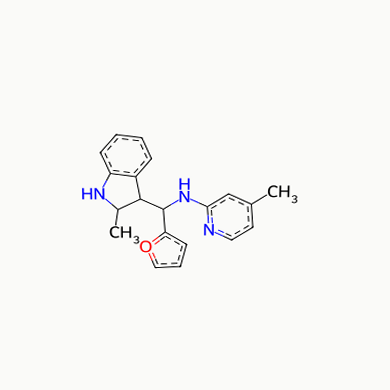 Cc1ccnc(NC(c2ccco2)C2c3ccccc3NC2C)c1